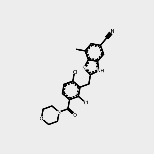 Cc1cc(C#N)cc2[nH]c(Cc3c(Cl)ccc(C(=O)N4CCOCC4)c3Cl)nc12